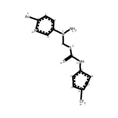 CC(=O)c1ccc(N(N)CSC(=S)Nc2ccc(C(F)(F)F)cc2)cn1